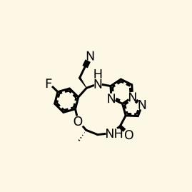 C[C@H]1CNC(=O)c2cnn3ccc(nc23)N[C@H](CC#N)c2cc(F)ccc2O1